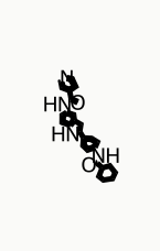 O=C(Nc1ccc2c(c1)CC(c1ccc(NC(=O)C3CCCCC3)cc1)N2)c1ccncc1